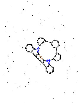 c1cc2cc(c1)-c1cccc(c1)-n1c3ccccc3c3c4c5ccccc5n(c4sc31)-c1cccc-2c1